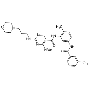 CNc1nc(NCCCN2CCOCC2)ncc1C(=O)Nc1cc(NC(=O)c2cccc(C(F)(F)F)c2)ccc1C